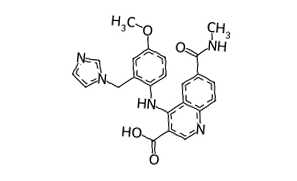 CNC(=O)c1ccc2ncc(C(=O)O)c(Nc3ccc(OC)cc3Cn3ccnc3)c2c1